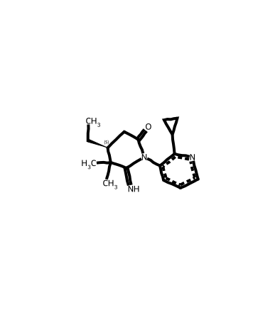 CC[C@H]1CC(=O)N(c2cccnc2C2CC2)C(=N)C1(C)C